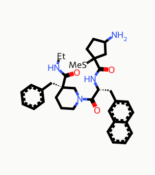 CCNC(=O)[C@]1(Cc2ccccc2)CCCN(C(=O)[C@@H](Cc2ccc3ccccc3c2)NC(=O)C2(SC)CCC(N)C2)C1